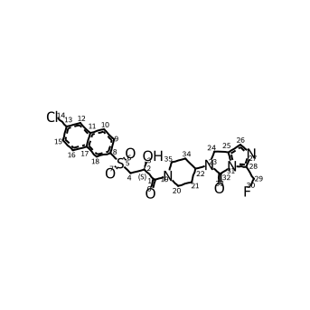 O=C([C@H](O)CS(=O)(=O)c1ccc2cc(Cl)ccc2c1)N1CCC(N2Cc3cnc(CF)n3C2=O)CC1